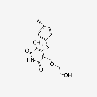 CC(=O)c1ccc(Sc2c(C)c(=O)[nH]c(=O)n2COCCO)cc1